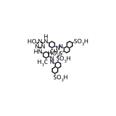 Cc1cc(Nc2nc(O)nc(Nc3ccc(/N=N/c4c(S(=O)(=O)O)ccc5cc(S(=O)(=O)O)ccc45)c(C)c3)n2)ccc1/N=N/c1c(S(=O)(=O)O)ccc2cc(S(=O)(=O)O)ccc12